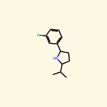 CC(C)C1CCC(c2cccc(F)c2)N1